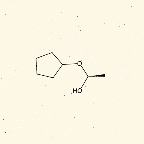 C[C@@H](O)OC1CCCC1